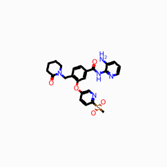 CS(=O)(=O)c1ccc(Oc2cc(C(=O)Nc3ncccc3N)ccc2CN2CCCCC2=O)cn1